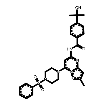 Cc1cc2nc(NC(=O)c3ccc(C(C)(C)O)cc3)cc(N3CCN(S(=O)(=O)c4ccccc4)CC3)n2n1